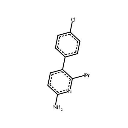 CC(C)c1nc(N)ccc1-c1ccc(Cl)cc1